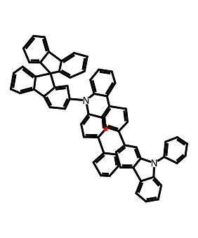 c1ccc(-c2ccc(N(c3ccc4c(c3)C3(c5ccccc5-c5ccccc53)c3ccccc3-4)c3ccccc3-c3ccc(-c4ccc5c6ccccc6n(-c6ccccc6)c5c4)cc3)cc2)cc1